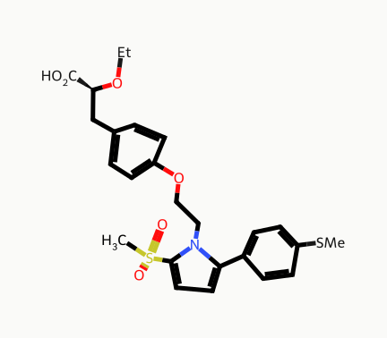 CCO[C@@H](Cc1ccc(OCCn2c(-c3ccc(SC)cc3)ccc2S(C)(=O)=O)cc1)C(=O)O